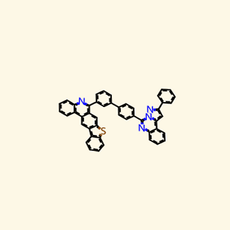 c1ccc(-c2cc3c4ccccc4nc(-c4ccc(-c5cccc(-c6nc7ccccc7c7cc8c(cc67)sc6ccccc68)c5)cc4)n3n2)cc1